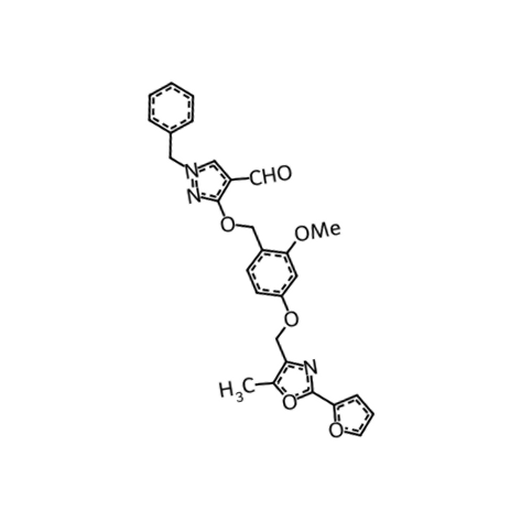 COc1cc(OCc2nc(-c3ccco3)oc2C)ccc1COc1nn(Cc2ccccc2)cc1C=O